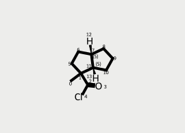 CC1(C(=O)Cl)CC[C@@H]2CCC[C@@H]21